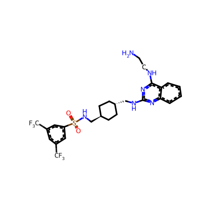 NCCNc1nc(NC[C@H]2CC[C@H](CNS(=O)(=O)c3cc(C(F)(F)F)cc(C(F)(F)F)c3)CC2)nc2ccccc12